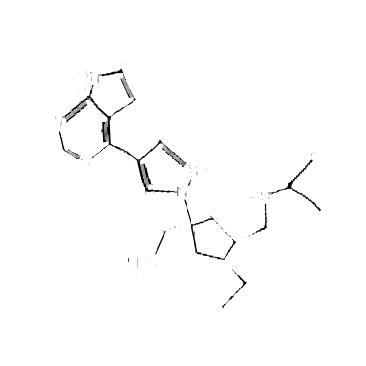 CC[C@H]1C[C@@](CN)(n2cc(-c3ncnc4[nH]ccc34)cn2)C[C@H]1CNC(C)C